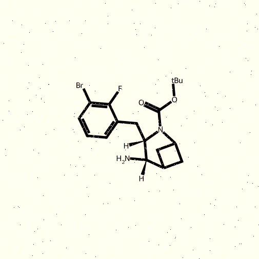 CC(C)(C)OC(=O)N1C2CC(C2)[C@H](N)[C@@H]1Cc1cccc(Br)c1F